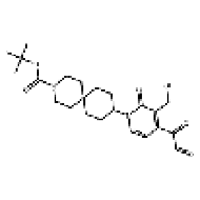 CC(C)(C)OC(=O)N1CCC2(CCC(n3ccc(C(=O)C=O)c(CO)c3=O)CC2)CC1